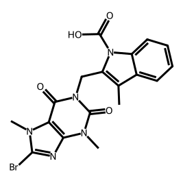 Cc1c(Cn2c(=O)c3c(nc(Br)n3C)n(C)c2=O)n(C(=O)O)c2ccccc12